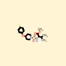 COC(=O)[C@H](NS(=O)(=O)N1CCC(Oc2ccc(F)cc2)CC1)C(C)C